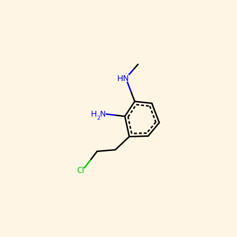 CNc1cccc(CCCl)c1N